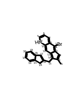 Cc1cc2c(Br)c3ccc[nH]c3cc2c1CC1=Cc2ccccc2C1